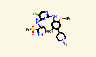 CCN1CCC(c2cc(OC(C)C)c(Nc3ncc(Cl)c(N/C(=C/NC)C(=N)S(=O)(=O)C(C)C)n3)cc2C)CC1